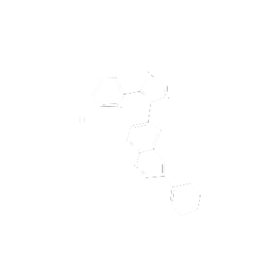 Cc1cccc(-c2[nH]cnc2-c2ccc3ncc(C4=CCCCC4)cc3c2)n1